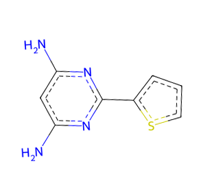 Nc1cc(N)nc(-c2cccs2)n1